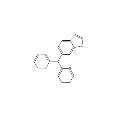 c1ccc(C(c2ccc3ccoc3c2)c2ccccn2)cc1